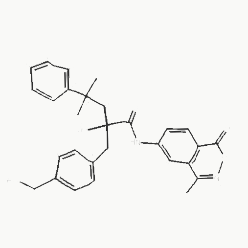 Cc1noc(=O)c2ccc(NC(=O)C(O)(Cc3ccc(CO)cc3)CC(C)(C)c3ccccc3)cc12